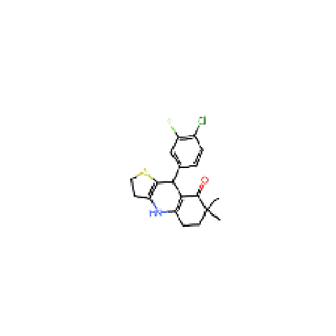 CC1(C)CCC2=C(C1=O)C(c1ccc(Cl)c(F)c1)C1=C(CCS1)N2